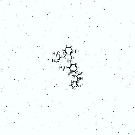 Cc1c(NCc2c(F)cccc2CN(C)C)ccc(S(=O)(=O)Nc2cscn2)c1F